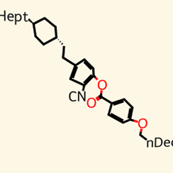 CCCCCCCCCCCOc1ccc(C(=O)Oc2ccc(CC[C@H]3CC[C@H](CCCCCCC)CC3)cc2C#N)cc1